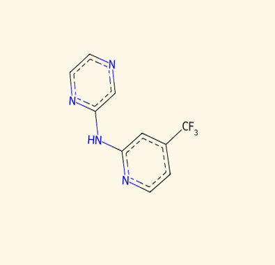 FC(F)(F)c1ccnc(Nc2cnccn2)c1